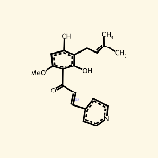 COc1cc(O)c(CC=C(C)C)c(O)c1C(=O)/C=C/c1ccncc1